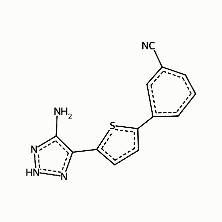 N#Cc1cccc(-c2ccc(-c3n[nH]nc3N)s2)c1